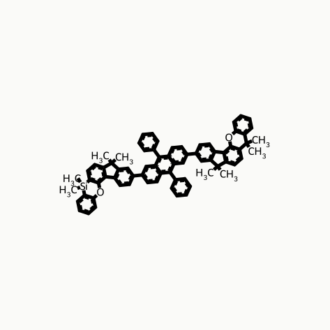 CC1(C)c2ccccc2Oc2c1ccc1c2-c2ccc(-c3ccc4c(-c5ccccc5)c5cc(-c6ccc7c(c6)C(C)(C)c6ccc8c(c6-7)Oc6ccccc6[Si]8(C)C)ccc5c(-c5ccccc5)c4c3)cc2C1(C)C